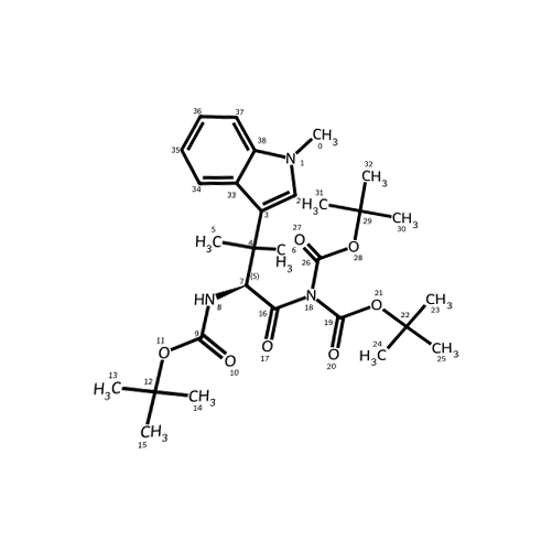 Cn1cc(C(C)(C)[C@H](NC(=O)OC(C)(C)C)C(=O)N(C(=O)OC(C)(C)C)C(=O)OC(C)(C)C)c2ccccc21